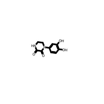 O=C1NCCN(c2ccc(O)c(O)c2)C1=O